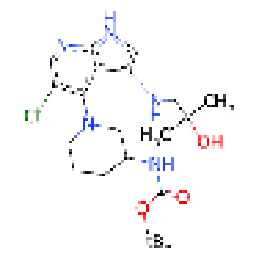 CC(C)(O)CNc1c[nH]c2ncc(Cl)c(N3CCCC(NC(=O)OC(C)(C)C)C3)c12